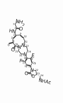 C=C1/C=C(NC(=O)CN)\C=C/CN2CCN(c3c(F)cc(N4C[C@H](CNC(C)=O)OC4=O)cc3F)CCN2C1=O